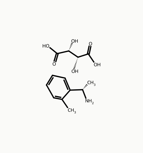 Cc1ccccc1[C@H](C)N.O=C(O)[C@H](O)[C@@H](O)C(=O)O